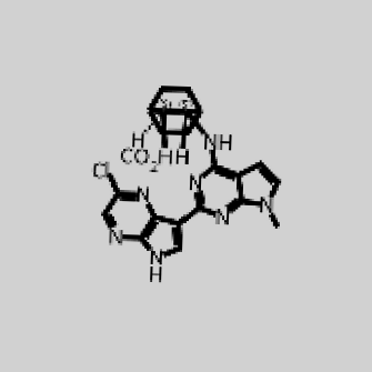 Cn1ccc2c(N[C@H]3C4CCC(CC4)[C@@H]3C(=O)O)nc(-c3c[nH]c4ncc(Cl)nc34)nc21